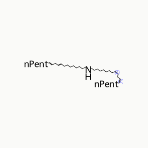 CCCCCC=CCC=CCCCCCCCCNCCCCCCCC/C=C\C/C=C\CCCCC